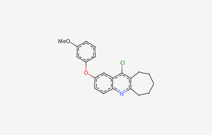 COc1cccc(Oc2ccc3nc4c(c(Cl)c3c2)CCCCC4)c1